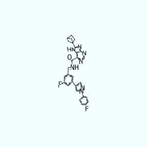 O=C(NCc1cc(F)cc(-c2cnn(-c3ccc(F)cc3)c2)c1)c1ncnc2nc(C34CCC(C3)C4)[nH]c12